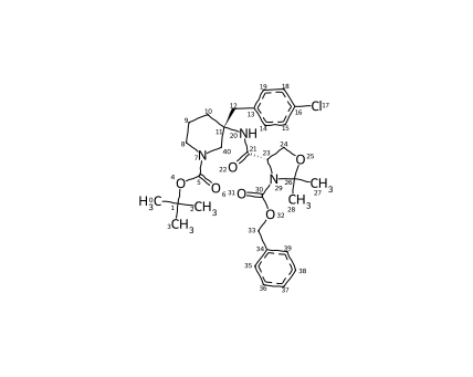 CC(C)(C)OC(=O)N1CCC[C@](Cc2ccc(Cl)cc2)(NC(=O)[C@@H]2COC(C)(C)N2C(=O)OCc2ccccc2)C1